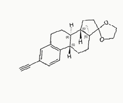 C#Cc1ccc2c(c1)CC[C@@H]1[C@@H]2CC[C@@]2(C)[C@H]1CCC21OCCO1